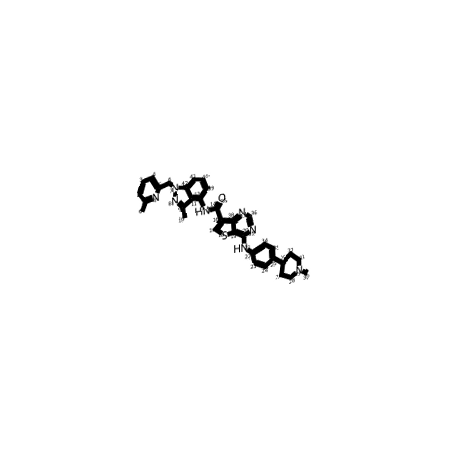 Cc1cccc(Cn2nc(C)c3c(NC(=O)c4csc5c(Nc6ccc(C7CCN(C)CC7)cc6)ncnc45)cccc32)n1